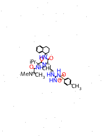 CN[C@@H](C)C(=O)N[C@H](C(=O)N(C)[C@@H](CCCNC(=N)NS(=O)(=O)c1ccc(C)cc1)C(=O)N[C@@H]1CCCc2ccccc21)C(C)C